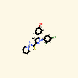 C[C@@H]1C(C(=S)NN2CCCCC2)=NN(c2ccc(Cl)cc2Cl)[C@H]1c1ccc(O)cc1